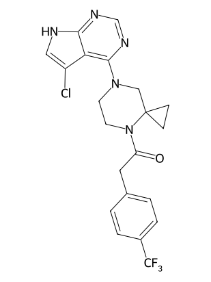 O=C(Cc1ccc(C(F)(F)F)cc1)N1CCN(c2ncnc3[nH]cc(Cl)c23)CC12CC2